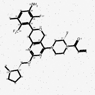 C=CC(=O)N1CCN(c2nc(OC[C@@H]3CCCN3C)nc3c2COC(c2c(F)c(N)cc(C)c2C(F)(F)F)C3)C[C@@H]1C